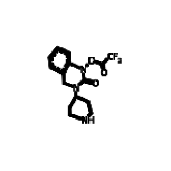 O=C1N(OC(=O)C(F)(F)F)c2ccccc2CN1C1CCNCC1